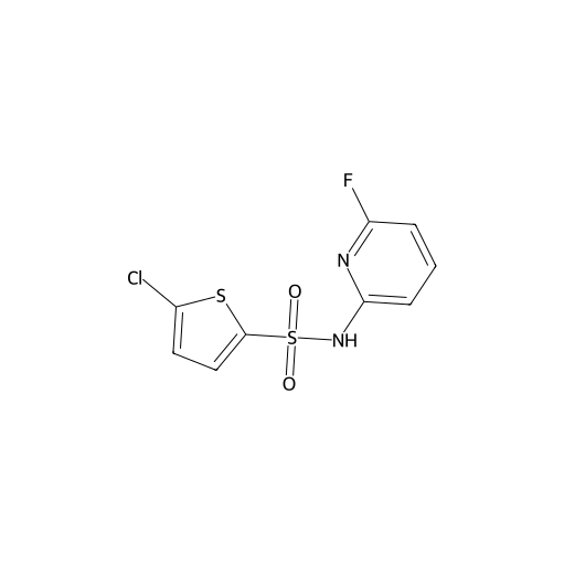 O=S(=O)(Nc1cccc(F)n1)c1ccc(Cl)s1